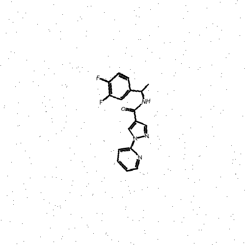 CC(NC(=O)c1cnn(-c2ccccn2)c1)c1ccc(F)c(F)c1